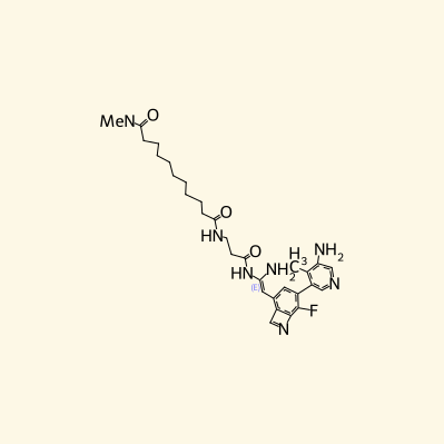 CNC(=O)CCCCCCCCCC(=O)NCCC(=O)N/C(N)=C/c1cc(-c2cncc(N)c2C)c(F)c2c1C=N2